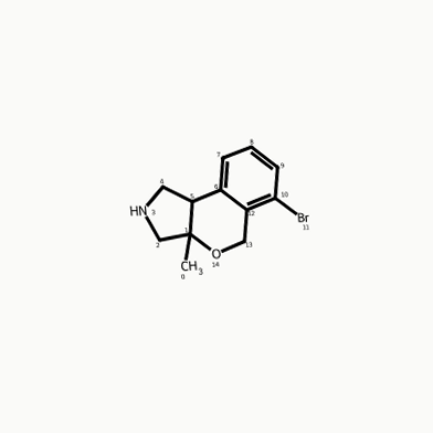 CC12CNCC1c1cccc(Br)c1CO2